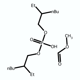 CCCCC(CC)COP(=O)(O)OCC(CC)CCCC.COC=O